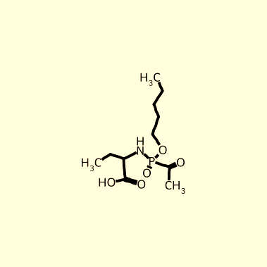 CCCCCOP(=O)(NC(CC)C(=O)O)C(C)=O